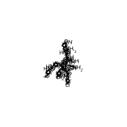 COc1ccc(NC(=O)Nc2ccc(C[C@@H](NC(=O)[C@H](Cc3ccc(O)cc3)NC(=O)[C@@H](CSS)NC(=O)[C@@H](N)Cc3ccc(Cl)cc3)C(=O)N[C@@H](CCCCN)C(=O)N[C@H](C(=O)NCC(=O)NC(Cc3ccc(O)cc3)C(N)=O)[C@@H](C)O)cc2)cc1